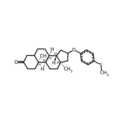 CSc1ccc(OC2C[C@H]3[C@@H]4CCC5CC(=O)CC[C@]5(C)[C@@H]4CC[C@]3(C)C2)cc1